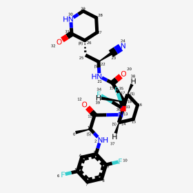 C[C@H](Nc1cc(F)ccc1F)C(=O)N1[C@H]2CC[C@@H]([C@H]1C(=O)N[C@H](C#N)C[C@H]1CCCNC1=O)C(F)(F)C2